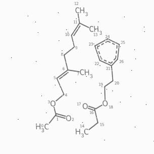 CC(=O)OC/C=C(\C)CCC=C(C)C.CCC(=O)OCCc1ccccc1